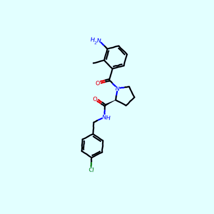 Cc1c(N)cccc1C(=O)N1CCC[C@H]1C(=O)NCc1ccc(Cl)cc1